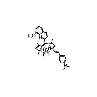 CC1=CC(C)=[N+]2C1=C(c1ccc3cccc(O)c3n1)c1c(C)cc(/C=C/c3ccc(N(C)C)cc3)n1[B-]2(F)F